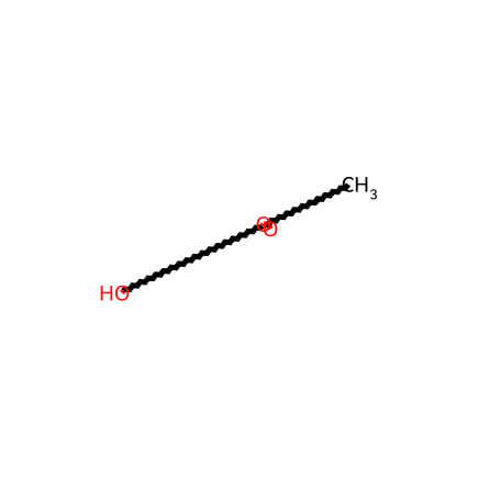 CCCCCCCCC=CCCCCCCCCCCCC(=O)OCCCCCCCCCCCCCCCCCCCCCCCCCCCCCCCCCCCCO